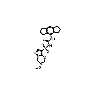 CO[C@H]1COc2c(S(=O)(=O)NC(=O)Nc3c4c(cc5c3CCC5)CCC4)cnn2C1